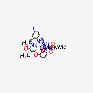 CNS(=O)(=O)Nc1cccc(Oc2c(C(=O)NC3CC3)c(Nc3ccc(I)cc3F)n(C)c(=O)c2C)c1OC